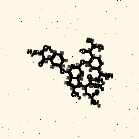 CCN(CC)C(=O)c1ccc(C(=N)N)cc1Oc1nc(Oc2cccc(C(=O)N(C)C)c2)c2nc(C)n(C(CC(N)=O)C(N)=O)c2n1